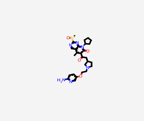 Cc1c(C(=O)CC2CCN(CCOc3ccc(N)nc3)C2)c(=O)n(C2CCCC2)c2nc([S+](C)[O-])ncc12